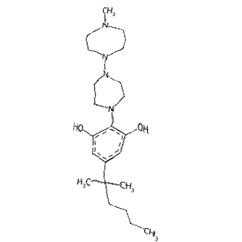 CCCCC(C)(C)c1cc(O)c(N2CCN(N3CCN(C)CC3)CC2)c(O)c1